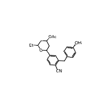 CCC1CC(OC(C)=O)CC(c2ccc(C#N)c(Cc3ccc(O)cc3)c2)O1